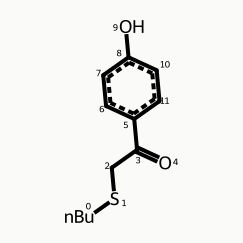 CCCCSCC(=O)c1ccc(O)cc1